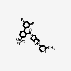 CCS(=O)(=O)c1ccc(-c2cc(F)cc(F)c2)c(C(=O)N2Cc3cn(-c4ccnc(C)c4)nc3C2)c1